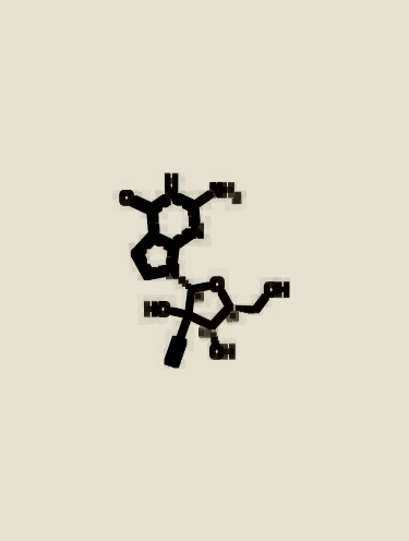 C#CC1(O)[C@@H](O)[C@@H](CO)O[C@H]1n1ccc2c(=O)[nH]c(N)nc21